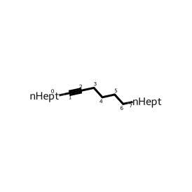 [CH2]CCCCCCC#CCCCCCCCCCC[CH2]